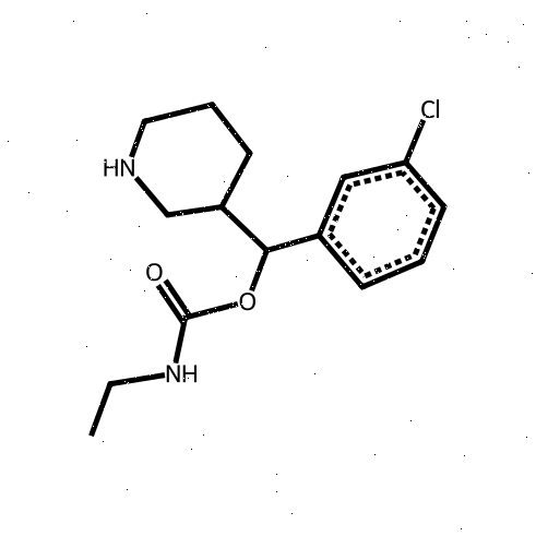 CCNC(=O)OC(c1cccc(Cl)c1)C1CCCNC1